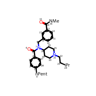 CCCCCc1ccc(C(=O)N(Cc2cccc(C(=O)NC)c2)C2CCN(CCC(C)C)CC2)cc1